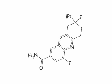 CC(C)C1(F)CCc2nc3c(F)cc(C(N)=O)cc3cc2C1